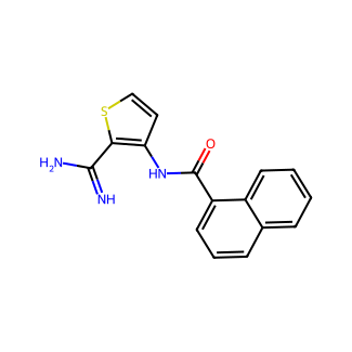 N=C(N)c1sccc1NC(=O)c1cccc2ccccc12